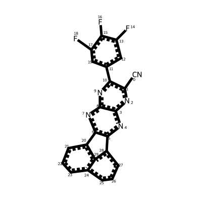 N#Cc1nc2nc3c(nc2nc1-c1cc(F)c(F)c(F)c1)-c1cccc2cccc-3c12